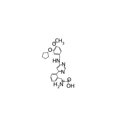 COc1ccc(CNc2cc(-c3ccccc3C[C@H](N)C(=O)O)ncn2)cc1OC1CCCC1